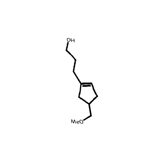 COCC1CC=C(CCCO)C1